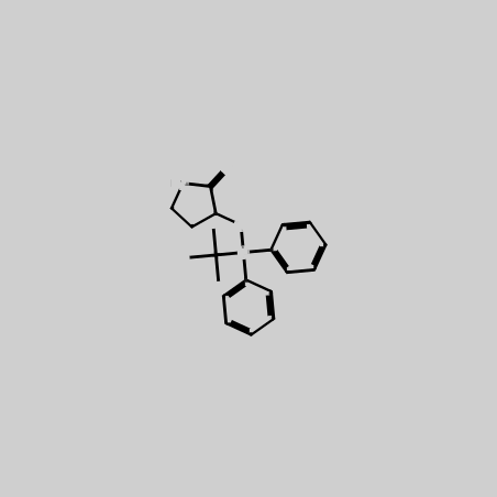 CC(C)(C)[Si](OC1CCNC1=O)(c1ccccc1)c1ccccc1